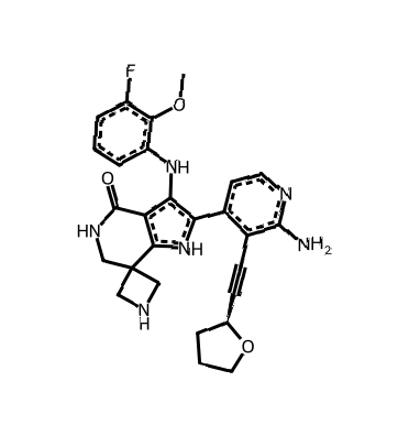 COc1c(F)cccc1Nc1c(-c2ccnc(N)c2C#C[C@@H]2CCCO2)[nH]c2c1C(=O)NCC21CNC1